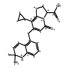 BC1(C)C=Cc2c(Cc3cc(=O)n4c(c3C3CC3)SCC4C(=O)O)cccc2N1